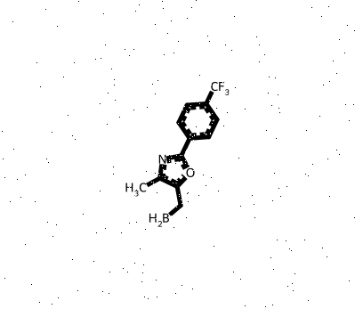 BCc1oc(-c2ccc(C(F)(F)F)cc2)nc1C